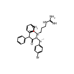 C[C@H](c1ccc(Br)cc1)N(C(=O)C(c1ccccc1)c1ccccc1)[C@H](CCCNC(=N)N)C(N)=O